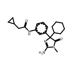 CN1C(=O)C(c2cccc(NC(=O)CC3CC3)c2)(C2CCCCC2)N=C1N